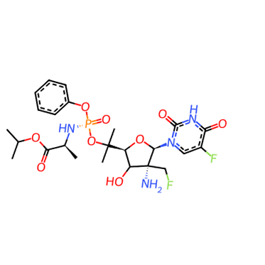 CC(C)OC(=O)[C@H](C)N[P@@](=O)(Oc1ccccc1)OC(C)(C)[C@H]1O[C@@H](n2cc(F)c(=O)[nH]c2=O)[C@@](N)(CF)C1O